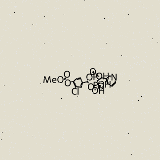 COC(=O)Oc1ccc(C2OP(=O)(O)C(O)(Cc3cccnc3)P(=O)(O)O2)cc1Cl